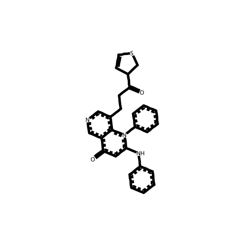 O=C(CCc1cncc2c(=O)cc(Nc3ccccc3)n(-c3ccccc3)c12)C1C=CSC1